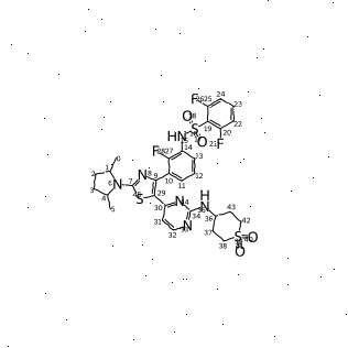 CC1CCC(C)N1c1nc(-c2cccc(NS(=O)(=O)c3c(F)cccc3F)c2F)c(-c2ccnc(NC3CCS(=O)(=O)CC3)n2)s1